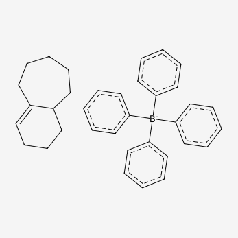 C1=C2CCCCCC2CCC1.c1ccc([B-](c2ccccc2)(c2ccccc2)c2ccccc2)cc1